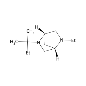 CCN1C[C@@H]2C[C@H]1CN2C(C)(C)CC